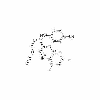 C#Cc1cnc(Nc2ccc(C#N)cc2)nc1Nc1c(C)cc(C)cc1C